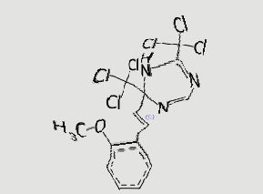 COc1ccccc1/C=C/C1(C(Cl)(Cl)Cl)N=CN=C(C(Cl)(Cl)Cl)N1